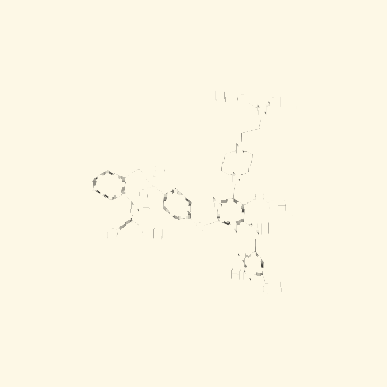 COc1c(Nc2cc(C)[nH]n2)nc(Sc2ccc(S(=O)(=O)Cc3ccccc3NC(C)=O)cc2)nc1N1CCN(CCN(C)C)CC1